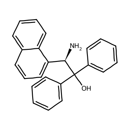 N[C@H](c1cccc2ccccc12)C(O)(c1ccccc1)c1ccccc1